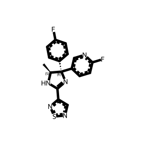 C[C@@H]1NC(c2cnsn2)=N[C@]1(c1ccc(F)cc1)c1ccc(F)nc1